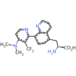 CN(C)c1ccnc(-c2ccc(C[C@H](N)C(=O)O)c3cccnc23)c1C(F)(F)F